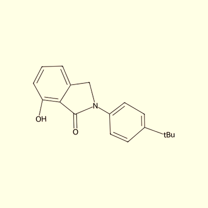 CC(C)(C)c1ccc(N2Cc3cccc(O)c3C2=O)cc1